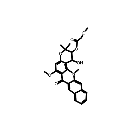 CCCC(=O)OC1C(O)c2c(cc(OC)c3c(=O)c4cc5ccccc5cc4n(C)c23)OC1(C)C